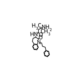 CC(C)(N)CC(=O)NC1CCc2ccccc2N(CCCc2ccccc2)C1=O